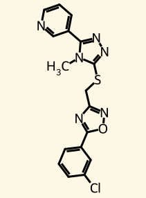 Cn1c(SCc2noc(-c3cccc(Cl)c3)n2)nnc1-c1cccnc1